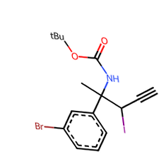 C#CC(I)C(C)(NC(=O)OC(C)(C)C)c1cccc(Br)c1